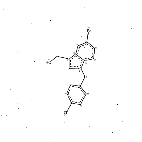 OCc1cn(Cc2ccc(Cl)cc2)c2ccc(Br)cc12